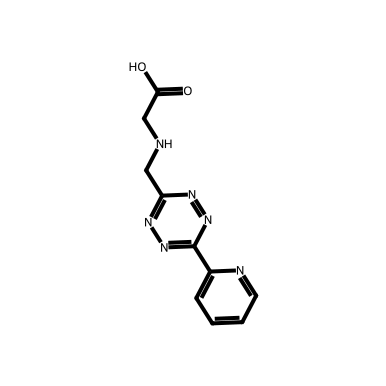 O=C(O)CNCc1nnc(-c2ccccn2)nn1